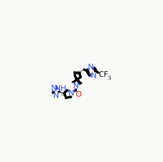 O=C(N1CC[C@H](c2ncn[nH]2)C1)N1CC2(CC[C@H](Cc3cnc(C(F)(F)F)cn3)C2)C1